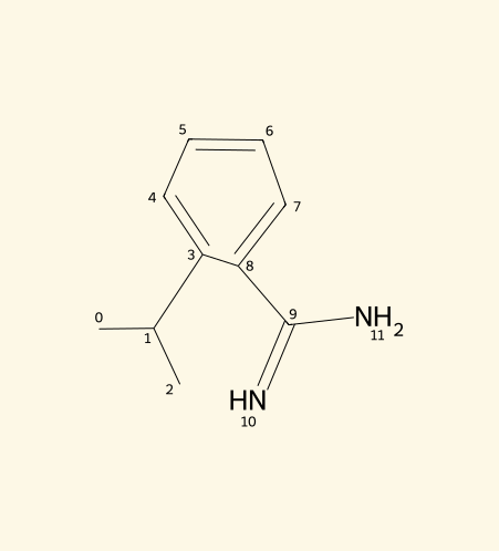 CC(C)c1ccccc1C(=N)N